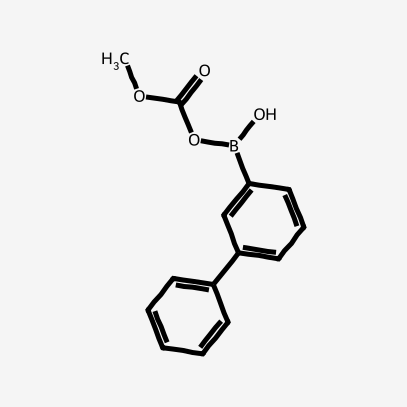 COC(=O)OB(O)c1cccc(-c2ccccc2)c1